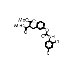 COC(=O)C(Cc1cccc(OC(=O)Nc2ccc(Cl)cc2Cl)c1)C(=O)OC